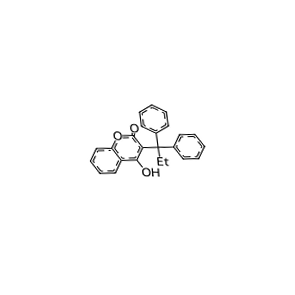 CCC(c1ccccc1)(c1ccccc1)c1c(O)c2ccccc2oc1=O